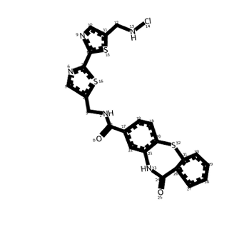 O=C(NCc1cnc(-c2ncc(CNCl)s2)s1)c1ccc2c(c1)NC(=O)c1ccccc1S2